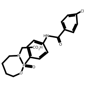 O=C(O)CN1CCCCOP1(=O)c1ccc(NC(=O)c2ccc(Cl)cc2)cc1